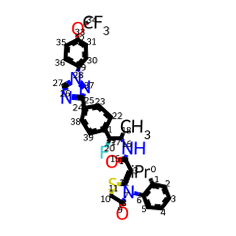 CC(C)c1ccccc1N1C(=O)CS/C1=C\C(=O)NC(C)C(F)c1ccc(-c2ncn(-c3ccc(OC(F)(F)F)cc3)n2)cc1